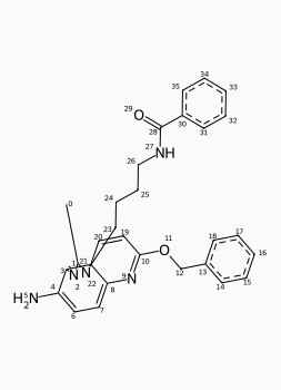 CC1N=C2C(N)=CC=C3N=C(OCc4ccccc4)C=CC32N1CCCCNC(=O)c1ccccc1